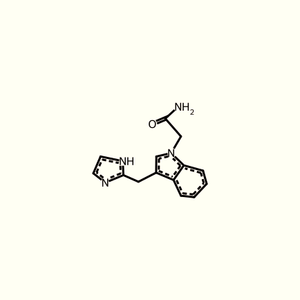 NC(=O)Cn1cc(Cc2ncc[nH]2)c2ccccc21